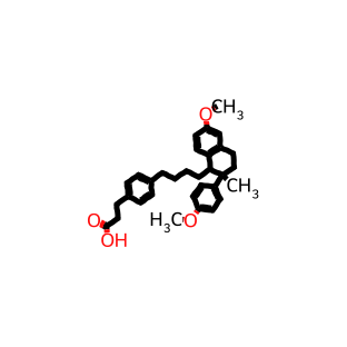 COc1ccc(C2(C)CCc3cc(OC)ccc3C2CCCCc2ccc(CCC(=O)O)cc2)cc1